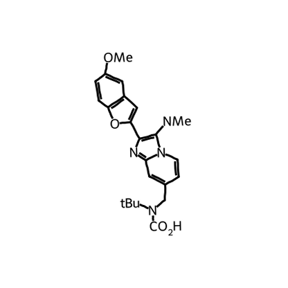 CNc1c(-c2cc3cc(OC)ccc3o2)nc2cc(CN(C(=O)O)C(C)(C)C)ccn12